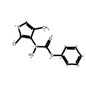 Cc1csc(Cl)c1N(S)C(=O)Oc1ccccc1